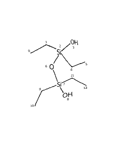 CC[Si](O)(CC)O[Si](O)(CC)CC